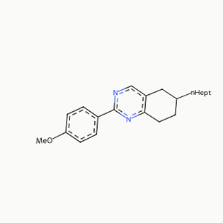 CCCCCCCC1CCc2nc(-c3ccc(OC)cc3)ncc2C1